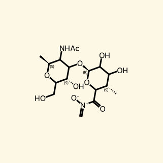 C=[N+]([O-])C(=O)C1O[C@@H](OC2C(NC(C)=O)[C@H](C)OC(CO)[C@H]2O)C(O)C(O)[C@@H]1C